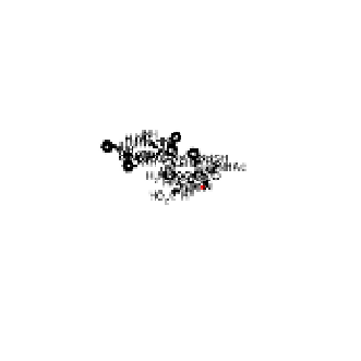 CC(=O)N[C@@H](CS)C(=O)N[C@@H](Cc1c[nH]cn1)C(=O)N[C@@H](Cc1c[nH]c2ccccc12)C(=O)N[C@@H](CC(C)C)C(=O)N[C@@H](CCC(=O)O)C(=O)N[C@@H](CC(N)=O)C(=O)N[C@@H](CS)C(=O)N[C@@H](Cc1c[nH]c2ccccc12)C(=O)N[C@@H](CCCNC(=N)N)C(=O)NCC(=O)N[C@@H](Cc1ccccc1)C(=O)N[C@@H](CS)C(=O)NCCc1ccccc1